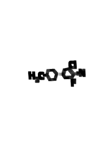 C[C@H]1CC[C@H](c2cc(F)c(C#N)c(Cl)c2)CC1